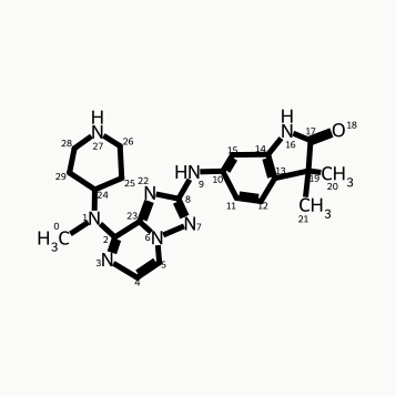 CN(c1nccn2nc(Nc3ccc4c(c3)NC(=O)C4(C)C)nc12)C1CCNCC1